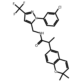 CC(C(=O)NCc1cc(C(F)(F)F)nn1-c1cccc(Cl)c1)c1ccc2c(c1)C=CC(C)(C)O2